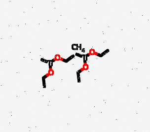 C.CC[O][Ti]([CH3])[O]CC.CC[O][Ti]([CH3])[O]CC